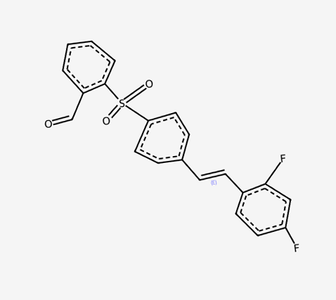 O=Cc1ccccc1S(=O)(=O)c1ccc(/C=C/c2ccc(F)cc2F)cc1